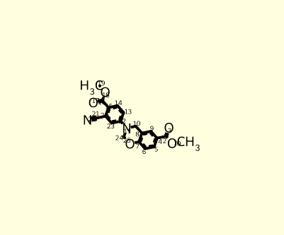 COC(=O)c1ccc2c(c1)CN(c1ccc(C(=O)OC)c(C#N)c1)CO2